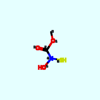 COC(=O)N(O)S